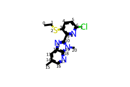 CCSc1ccc(Cl)nc1-c1nc2cc(C)cnc2n1C